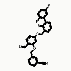 N#Cc1cccc(COc2cc(OCc3cccc(-c4cc(F)ccc4F)c3F)ccc2C=O)c1